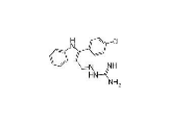 N=C(N)NN=Cc1c(-c2ccc(Cl)cc2)[nH]c2ccccc12